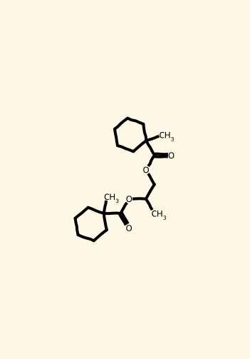 CC(COC(=O)C1(C)CCCCC1)OC(=O)C1(C)CCCCC1